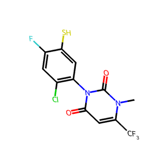 Cn1c(C(F)(F)F)cc(=O)n(-c2cc(S)c(F)cc2Cl)c1=O